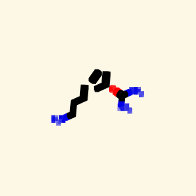 C=C.C=CC.C=CCCN.NC(N)=O